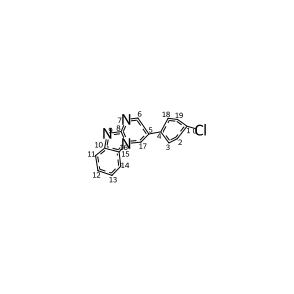 Clc1ccc(-c2cnc3nc4ccccc4n3c2)cc1